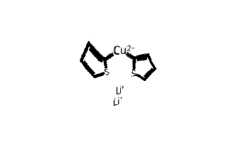 [Li+].[Li+].c1cs[c]([Cu-2][c]2cccs2)c1